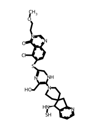 COCCn1cnc2ccc(SC3=NC(CO)=C(N4CCC5(CC4)Cc4ncccc4[C@H]5NS)NC3)c(Cl)c2c1=O